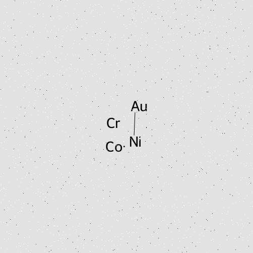 [Co].[Cr].[Ni][Au]